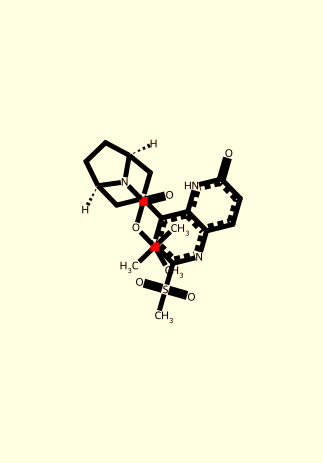 CC(C)(C)OC(=O)N1[C@@H]2CC[C@H]1CN(c1nc(S(C)(=O)=O)nc3ccc(=O)[nH]c13)C2